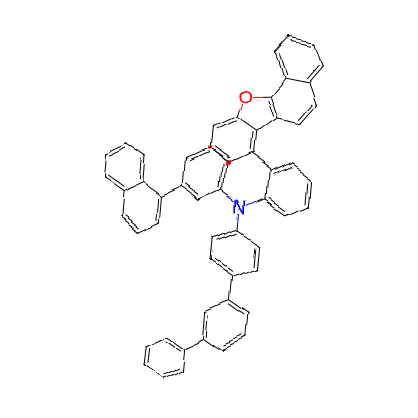 c1ccc(-c2cccc(-c3ccc(N(c4cccc(-c5cccc6ccccc56)c4)c4ccccc4-c4cccc5oc6c7ccccc7ccc6c45)cc3)c2)cc1